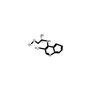 CCOC[C@@H](Nc1c(N)cnc2ccccc12)C(C)C